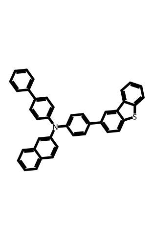 c1ccc(-c2ccc(N(c3ccc(-c4ccc5sc6ccccc6c5c4)cc3)c3ccc4ccccc4c3)cc2)cc1